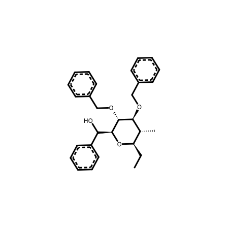 CC[C@H]1O[C@@H](C(O)c2ccccc2)[C@H](OCc2ccccc2)[C@@H](OCc2ccccc2)[C@@H]1C